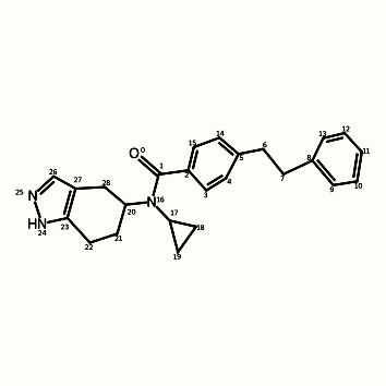 O=C(c1ccc(CCc2ccccc2)cc1)N(C1CC1)C1CCc2[nH]ncc2C1